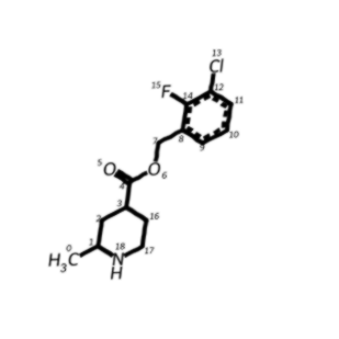 CC1CC(C(=O)OCc2cccc(Cl)c2F)CCN1